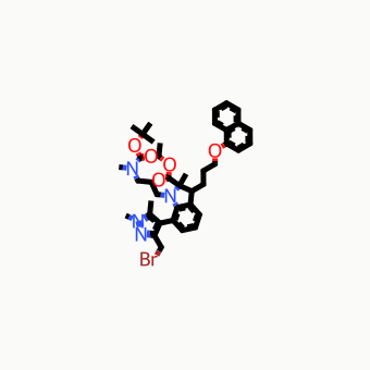 CCOC(=O)C1(C)C(CCCOc2cccc3ccccc23)c2cccc(-c3c(CBr)nn(C)c3C)c2N1CCCN(C)C(=O)OC(C)(C)C